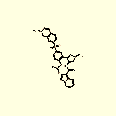 CN1C=Cc2ccc(S(=O)(=O)c3ccc(OC(F)F)c(-c4nn(C)cc4NC(=O)c4cnn5cccnc45)c3)cc2C1